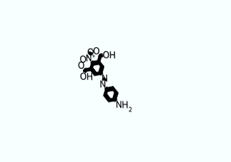 Nc1ccc(/N=N/c2cc(C(=O)O)c([N+](=O)[O-])c(C(=O)O)c2)cc1